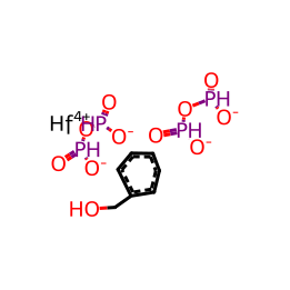 O=[PH]([O-])O[PH](=O)[O-].O=[PH]([O-])O[PH](=O)[O-].OCc1ccccc1.[Hf+4]